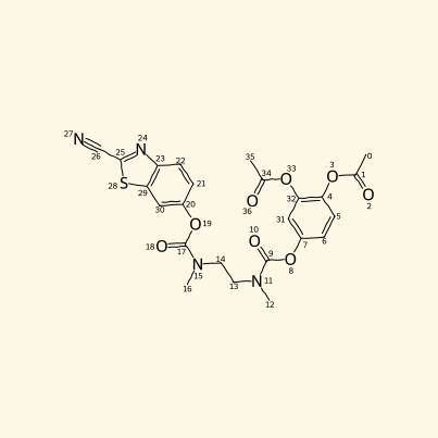 CC(=O)Oc1ccc(OC(=O)N(C)CCN(C)C(=O)Oc2ccc3nc(C#N)sc3c2)cc1OC(C)=O